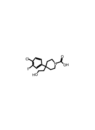 O=C(O)N1CCC(CCO)(c2ccc(Cl)c(F)c2)CC1